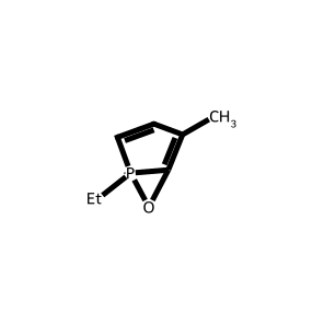 CC[P]12C=CC(C)=C1O2